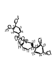 COc1ccc(S(=O)(=O)Nc2ccc(-c3ccc(Cl)cc3Cl)cn2)cc1OC